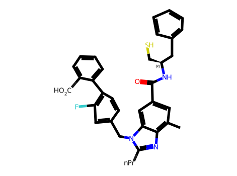 CCCc1nc2c(C)cc(C(=O)N[C@@H](CS)Cc3ccccc3)cc2n1Cc1ccc(-c2ccccc2C(=O)O)c(F)c1